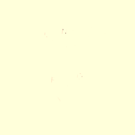 C=Cc1ccc(F)c(COc2cccc(-c3c(-c4ccccc4C)cnc4c(C(F)(F)F)cccc34)c2)c1